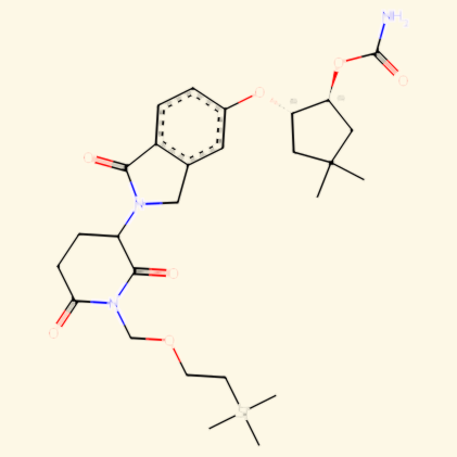 CC1(C)C[C@H](OC(N)=O)[C@@H](Oc2ccc3c(c2)CN(C2CCC(=O)N(COCC[Si](C)(C)C)C2=O)C3=O)C1